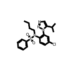 CCCCN(c1ccc(Cl)cc1-n1nncc1C(C)C)S(=O)(=O)c1ccccc1